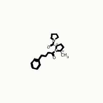 C[C@H]1CC[C@@H](C(=O)N2CCCC2)N1C(=O)CCCc1ccccc1